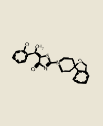 C/C(=C1\SC(N2CCC3(CC2)OCc2ccccc23)=NC1=O)c1ccccc1Cl